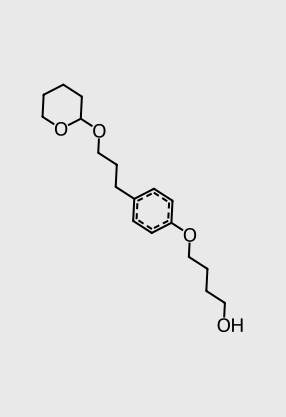 OCCCCOc1ccc(CCCOC2CCCCO2)cc1